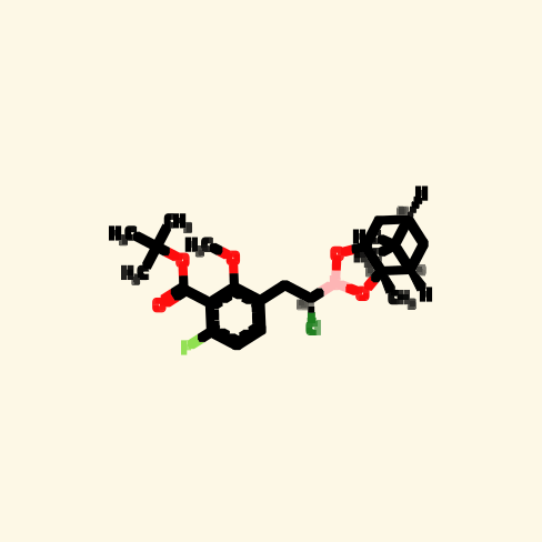 COc1c(C[C@@H](Cl)B2OC3C[C@H]4C[C@@H](C4(C)C)[C@]3(C)O2)ccc(F)c1C(=O)OC(C)(C)C